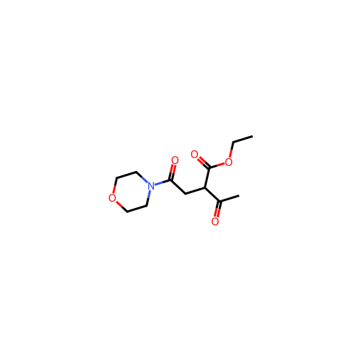 CCOC(=O)C(CC(=O)N1CCOCC1)C(C)=O